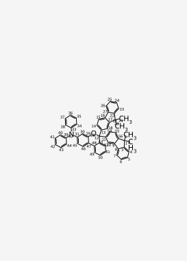 CC1(C)c2ccccc2-c2cc(C3(c4ccc5c(c4)C(C)(C)c4ccccc4-5)Oc4cc(N(c5ccccc5)c5ccccc5)ccc4-c4ccccc43)ccc21